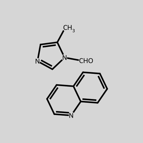 Cc1cncn1C=O.c1ccc2ncccc2c1